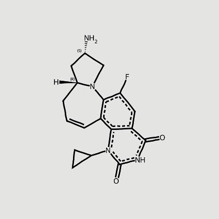 N[C@H]1C[C@H]2CC=Cc3c(c(F)cc4c(=O)[nH]c(=O)n(C5CC5)c34)N2C1